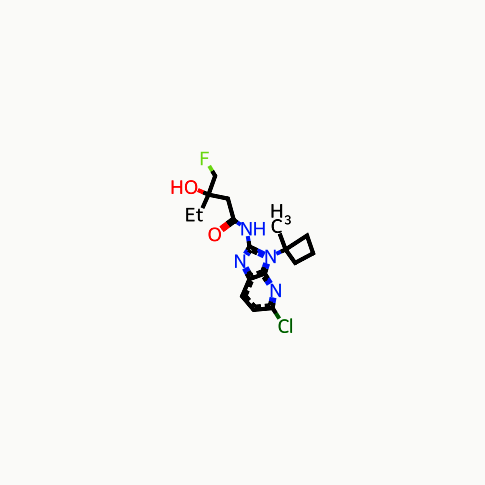 CCC(O)(CF)CC(=O)Nc1nc2ccc(Cl)nc2n1C1(C)CCC1